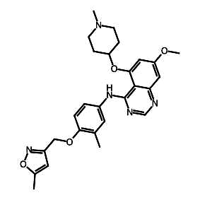 COc1cc(OC2CCN(C)CC2)c2c(Nc3ccc(OCc4cc(C)on4)c(C)c3)ncnc2c1